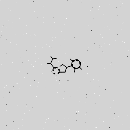 Oc1ccc(Cl)c(Cl)c1C1Cc2nnc(C(F)C(F)F)n2C1